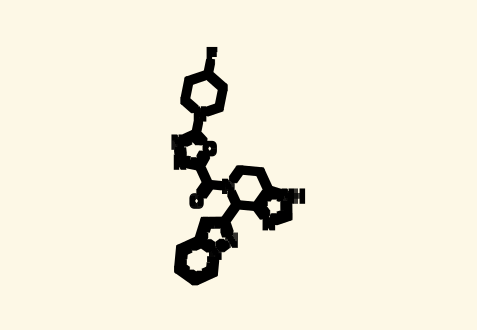 O=C(c1nnc(N2CCC(F)CC2)o1)N1CCc2[nH]cnc2C1c1cc2ccccn2n1